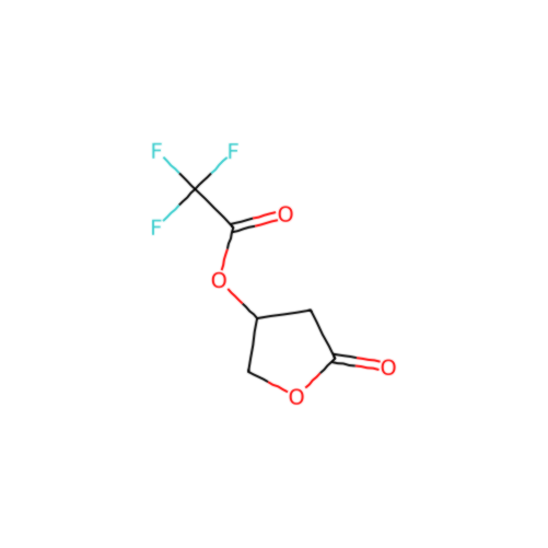 O=C1CC(OC(=O)C(F)(F)F)CO1